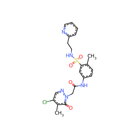 Cc1ccc(NC(=O)Cn2ncc(Cl)c(C)c2=O)cc1S(=O)(=O)NCCc1ccccn1